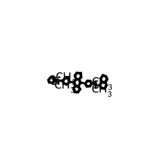 C[Si](C)(c1ccccc1)c1ccc(-c2c3ccccc3c(-c3ccc([Si](C)(C)c4cccc5ccccc45)cc3)c3ccccc23)cc1